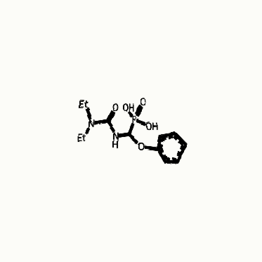 CCN(CC)C(=O)NC(Oc1ccccc1)P(=O)(O)O